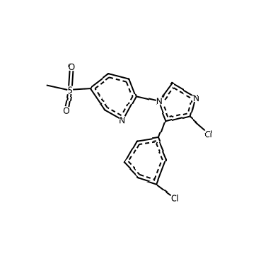 CS(=O)(=O)c1ccc(-n2cnc(Cl)c2-c2cccc(Cl)c2)nc1